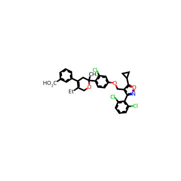 CCC1=C(c2cccc(C(=O)O)c2)CC(C)(c2ccc(OCc3c(-c4c(Cl)cccc4Cl)noc3C3CC3)cc2Cl)OC1